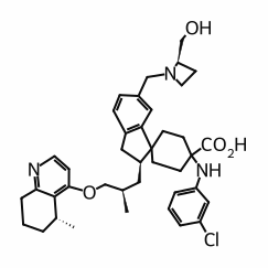 C[C@@H](COc1ccnc2c1[C@H](C)CCC2)C[C@H]1Cc2ccc(CN3CC[C@@H]3CO)cc2C12CCC(Nc1cccc(Cl)c1)(C(=O)O)CC2